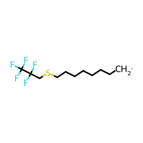 [CH2]CCCCCCCSCC(F)(F)C(F)(F)F